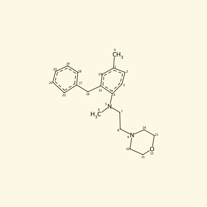 Cc1ccc(N(C)CCN2CCOCC2)c(Cc2ccccc2)c1